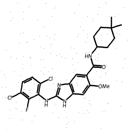 COc1cc2[nH]c(Nc3c(Cl)ccc(Cl)c3F)nc2cc1C(=O)NC1CCC(C)(C)CC1